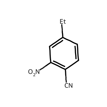 CCc1ccc(C#N)c([N+](=O)[O-])c1